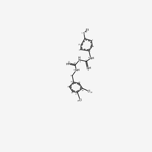 CCSc1ccc(NC(=N)NC(=N)NCc2ccc(Cl)c(Cl)c2)cc1